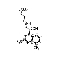 CSCCCNCC(O)c1cc(C(F)(F)F)nc2c(C(F)(F)F)cccc12